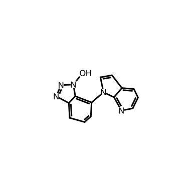 On1nnc2cccc(-n3ccc4cccnc43)c21